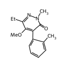 CCc1nn(C)c(=O)c(-c2ccccc2C)c1OC